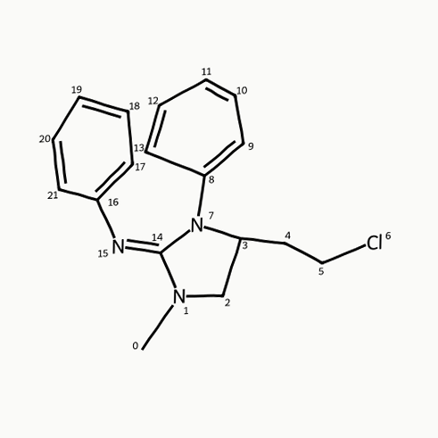 CN1CC(CCCl)N(c2ccccc2)/C1=N\c1ccccc1